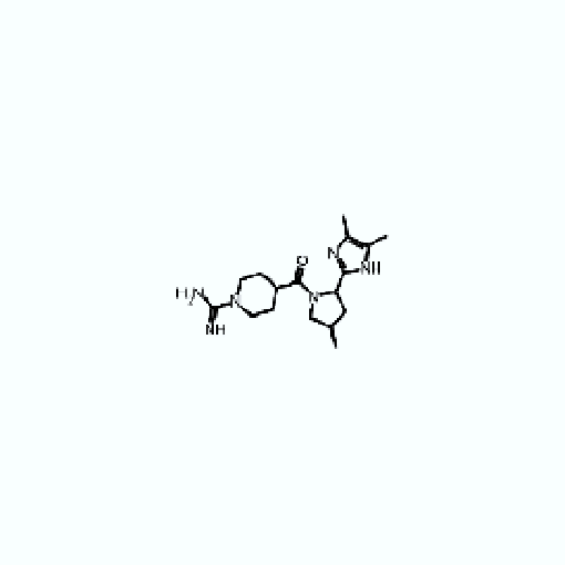 Cc1nc(C2CC(C)CN2C(=O)C2CCN(C(=N)N)CC2)[nH]c1C